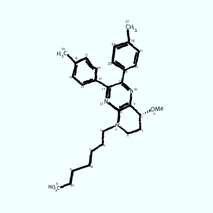 CO[C@@H]1CCN(CCCCCCC(=O)O)c2nc(-c3ccc(C)cc3)c(-c3ccc(C)cc3)nc21